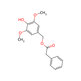 COc1cc(COC(=O)Cc2ccccc2)cc(OC)c1O